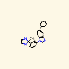 CC1(c2cccc(-n3cnc4cc(-c5ccccc5)ccc43)c2)N=CC=N1